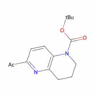 CC(=O)c1ccc2c(n1)CCCN2C(=O)OC(C)(C)C